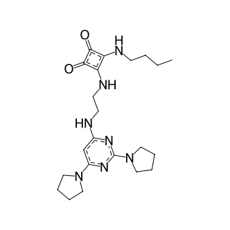 CCCCNc1c(NCCNc2cc(N3CCCC3)nc(N3CCCC3)n2)c(=O)c1=O